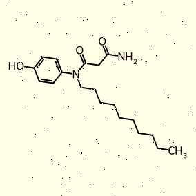 CCCCCCCCCCN(C(=O)CC(N)=O)c1ccc(O)cc1